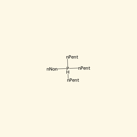 CCCCCCCCC[PH](CCCCC)(CCCCC)CCCCC